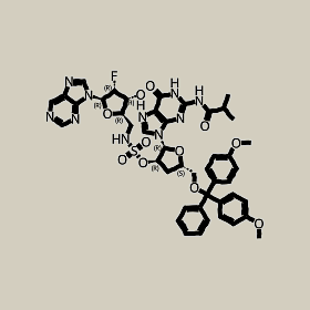 COc1ccc(C(OC[C@@H]2C[C@@H](OS(=O)(=O)NC[C@H]3O[C@@H](n4cnc5cncnc54)[C@H](F)[C@@H]3O)[C@H](n3cnc4c(=O)[nH]c(NC(=O)C(C)C)nc43)O2)(c2ccccc2)c2ccc(OC)cc2)cc1